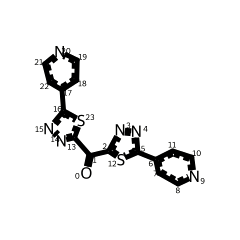 O=C(c1nnc(-c2ccncc2)s1)c1nnc(-c2ccncc2)s1